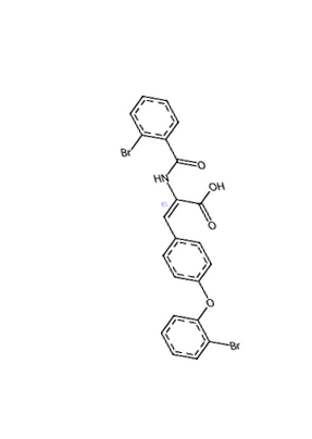 O=C(O)/C(=C\c1ccc(Oc2ccccc2Br)cc1)NC(=O)c1ccccc1Br